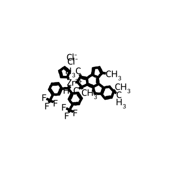 CC1=CC=c2c1c1c(c3c2=C(C)[CH]([Zr+2](=[C](c2cccc(C(F)(F)F)c2)c2cccc(C(F)(F)F)c2)[CH]2C=CC=C2)C3(C)C)CC2=C1CC(C)(C)C=C2.[Cl-].[Cl-]